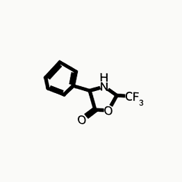 O=C1OC(C(F)(F)F)NC1c1ccccc1